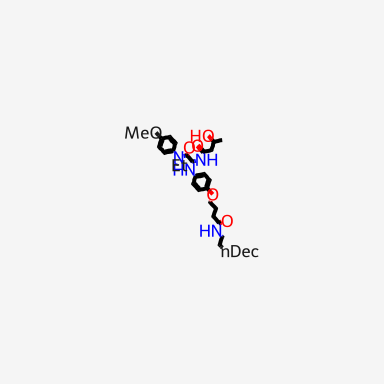 CCCCCCCCCCCCNC(=O)CCCOc1ccc(NC(NC(=O)CC(C)O)C(=O)N(CC)c2ccc(OC)cc2)cc1